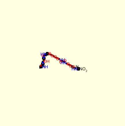 Cc1ccc2c(c1)NC[C@]21CCN(CC(O)C2CCN(C(=O)c3cc4cc(OCCOCCOCCOCCNC(=O)CCC(=O)NCCOCCOCCOCCNc5ccc([N+](=O)[O-])cc5[N+](=O)[O-])ccc4[nH]3)CC2)C[C@H]1C